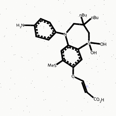 CCCCC1(CCCC)CN(c2ccc(N)cc2)c2cc(SC)c(O/C=C/C(=O)O)cc2S(O)(O)C1